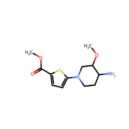 COC(=O)c1ccc(N2CCC(N)C(OC)C2)s1